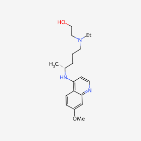 CCN(CCO)CCC[C@@H](C)Nc1ccnc2cc(OC)ccc12